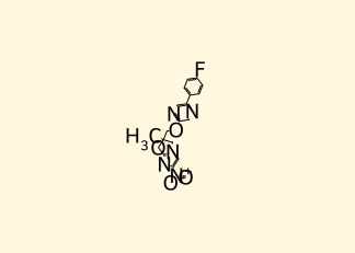 CC1(COc2cnc(-c3ccc(F)cc3)cn2)Cn2cc([N+](=O)[O-])nc2O1